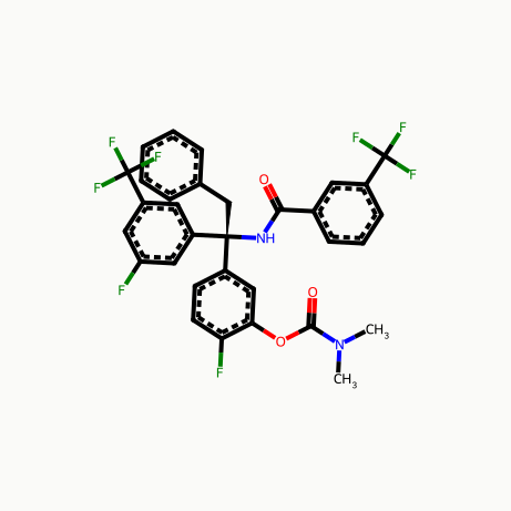 CN(C)C(=O)Oc1cc([C@@](Cc2ccccc2)(NC(=O)c2cccc(C(F)(F)F)c2)c2cc(F)cc(C(F)(F)F)c2)ccc1F